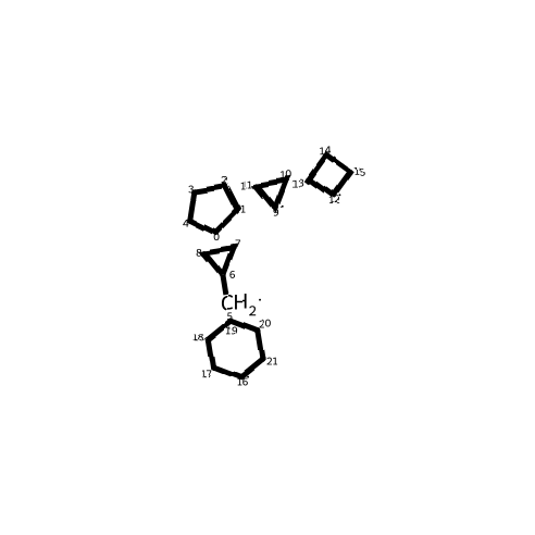 C1CCCC1.[CH2]C1CC1.[CH]1CC1.[CH]1CCC1.[CH]1CCCCC1